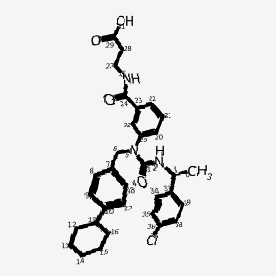 C[C@H](NC(=O)N(Cc1ccc(C2CCCCC2)cc1)c1cccc(C(=O)NCCC(=O)O)c1)c1ccc(Cl)cc1